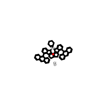 C1=C(C2CCCC2)[CH]([Zr+2]2([CH]3C(C4CCCC4)=Cc4c(-c5c6ccccc6cc6ccccc56)cccc43)[CH]3CCCC[CH]32)c2cccc(-c3c4ccccc4cc4ccccc34)c21.[Cl-].[Cl-]